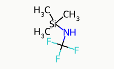 C[Si](C)(C)NC(F)(F)F